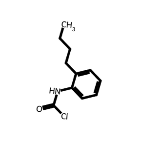 CCCCc1ccccc1NC(=O)Cl